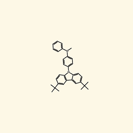 CN(c1ccccc1)c1ccc(-n2c3ccc(C(C)(C)C)cc3c3cc(C(C)(C)C)ccc32)cc1